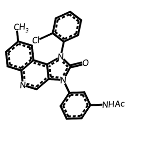 CC(=O)Nc1cccc(-n2c(=O)n(-c3ccccc3Cl)c3c4cc(C)ccc4ncc32)c1